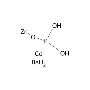 OP(O)[O][Zn].[BaH2].[Cd]